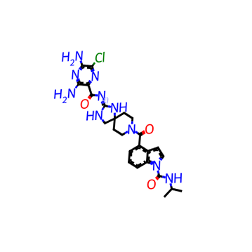 CC(C)NC(=O)n1ccc2c(C(=O)N3CCC4(CC3)CN/C(=N\C(=O)c3nc(Cl)c(N)nc3N)N4)cccc21